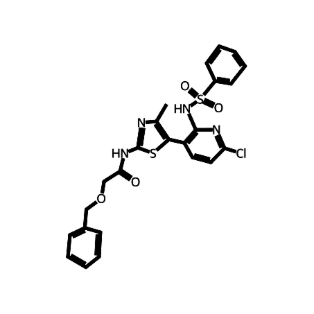 Cc1nc(NC(=O)COCc2ccccc2)sc1-c1ccc(Cl)nc1NS(=O)(=O)c1ccccc1